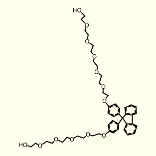 OCCOCCOCCOCCOCCOCCOc1ccc(C2(c3ccc(OCCOCCOCCOCCOCCO)cc3)c3ccccc3-c3ccccc32)cc1